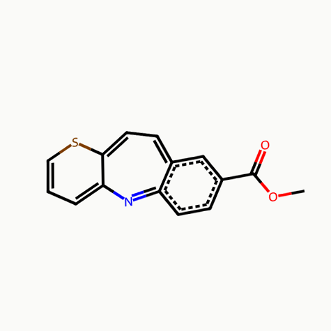 COC(=O)c1ccc2c(c1)=CC=C1SC=CC=C1N=2